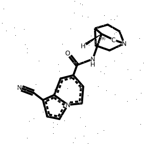 N#Cc1ccn2ccc(C(=O)N[C@H]3CN4CCC3CC4)cc12